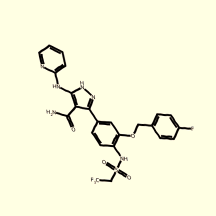 NC(=O)c1c(-c2ccc(NS(=O)(=O)CC(F)(F)F)c(OCc3ccc(F)cc3)c2)n[nH]c1Nc1ccccn1